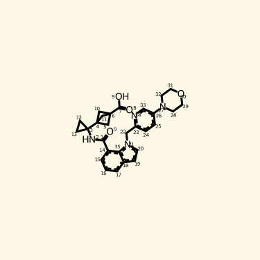 O=C(NC1(C23CC(C(=O)O)(C2)C3)CC1)c1cccc2ccn(Cc3ccc(N4CCOCC4)cn3)c12